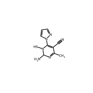 CC1=NC(N)N(S)C(n2cccn2)=C1C#N